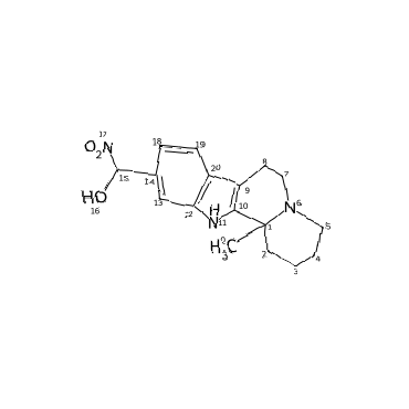 CC12CCCCN1CCc1c2[nH]c2cc(C(O)[N+](=O)[O-])ccc12